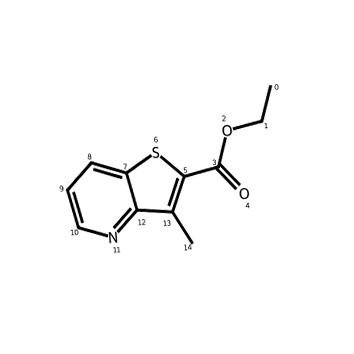 CCOC(=O)c1sc2cccnc2c1C